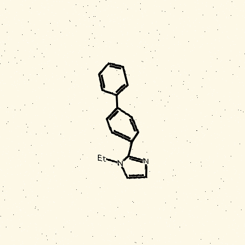 CCn1ccnc1-c1ccc(-c2ccccc2)cc1